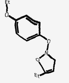 CCOc1ccc(ON2CC=C(CC)O2)cc1